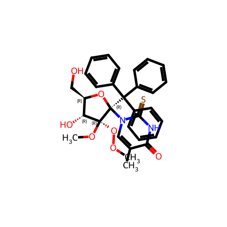 COO[C@]1(OC)[C@H](O)[C@@H](CO)O[C@]1(n1cc(C)c(=O)[nH]c1=S)C(c1ccccc1)(c1ccccc1)c1ccccc1